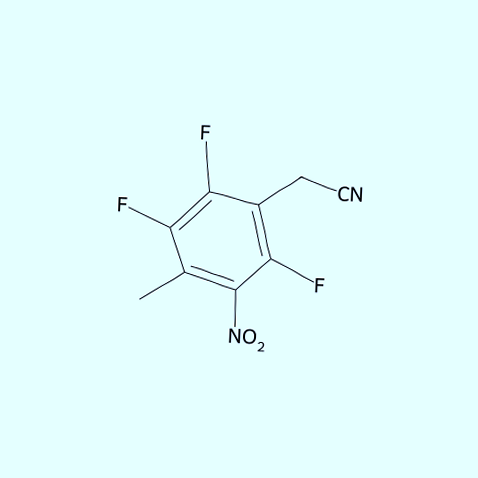 Cc1c(F)c(F)c(CC#N)c(F)c1[N+](=O)[O-]